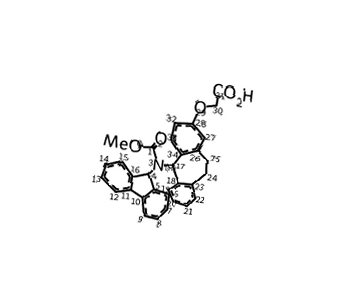 COC(=O)N(C1c2ccccc2-c2ccccc21)[C@@H]1c2ccccc2CCc2cc(OCC(=O)O)ccc21